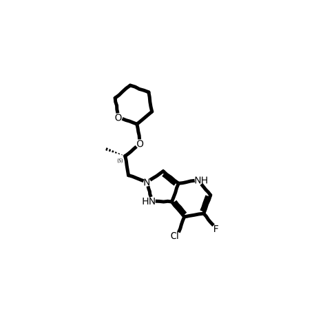 C[C@@H](CN1C=C2NC=C(F)C(Cl)=C2N1)OC1CCCCO1